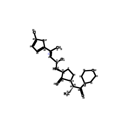 C/C(=C\[S+]([O-])N[C@H]1CCN([C@@H](C)C(=O)N2CCOCC2)C1=O)c1ccc(Cl)s1